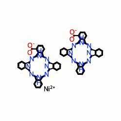 O=C([O-])c1cccc2c3nc4nc(nc5[nH]c(nc6nc(nc([nH]3)c12)-c1ccccc1-6)c1ccccc51)-c1ccccc1-4.O=C([O-])c1cccc2c3nc4nc(nc5[nH]c(nc6nc(nc([nH]3)c12)-c1ccccc1-6)c1ccccc51)-c1ccccc1-4.[Ni+2]